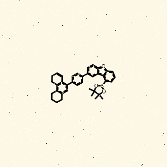 CC1(C)OB(c2cccc3oc4ccc(-c5ccc(-c6cc7c(c8c6C=CCC8)CCCC7)cc5)cc4c23)OC1(C)C